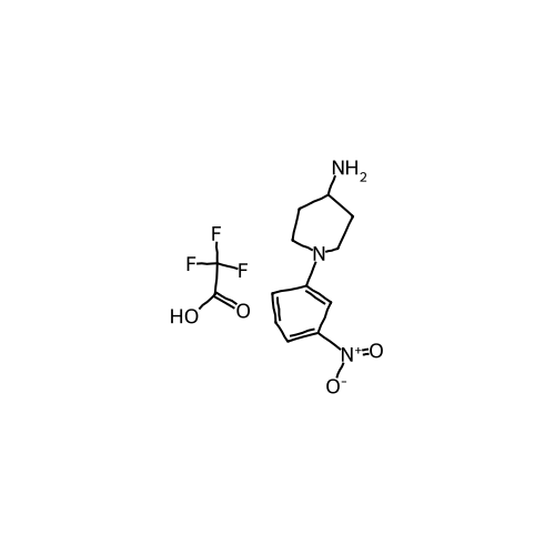 NC1CCN(c2cccc([N+](=O)[O-])c2)CC1.O=C(O)C(F)(F)F